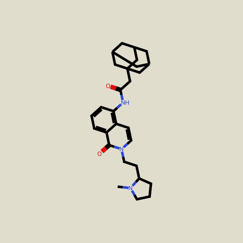 CN1CCCC1CCn1ccc2c(NC(=O)CC34CC5CC(CC(C5)C3)C4)cccc2c1=O